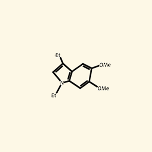 C[CH]c1cn(CC)c2cc(OC)c(OC)cc12